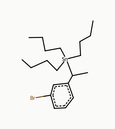 CCC[CH2][Sn]([CH2]CCC)([CH2]CCC)[CH](C)c1cccc(Br)c1